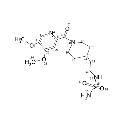 COc1cnc(C(=O)N2CCC(CCNS(N)(=O)=O)CC2)cc1OC